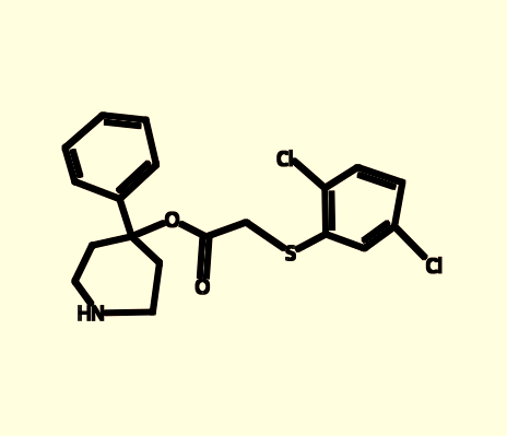 O=C(CSc1cc(Cl)ccc1Cl)OC1(c2ccccc2)CCNCC1